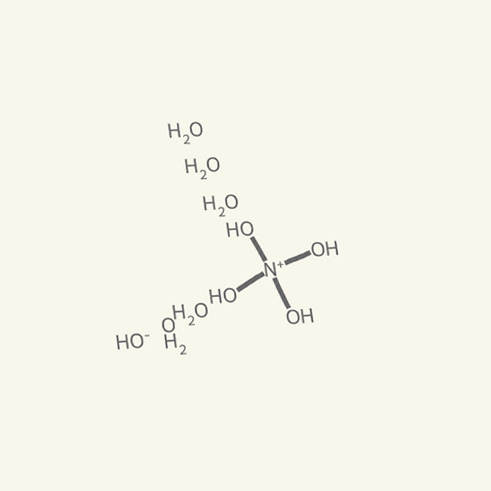 O.O.O.O.O.O[N+](O)(O)O.[OH-]